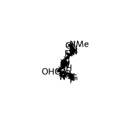 CNC(=O)c1cn(CC(F)CCc2ccc(NCC(C=O)c3cncc(OC4CC(F)(F)C4)c3)nn2)nn1